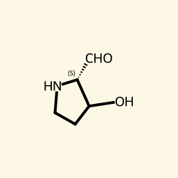 O=C[C@H]1NCCC1O